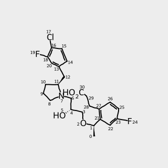 C[C@@H](OC[C@H](O)CN1CCC[C@H]1Cc1ccc(Cl)c(F)c1)c1cc(F)ccc1CCC(=O)O